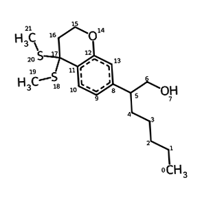 CCCCCC(CO)c1ccc2c(c1)OCCC2(SC)SC